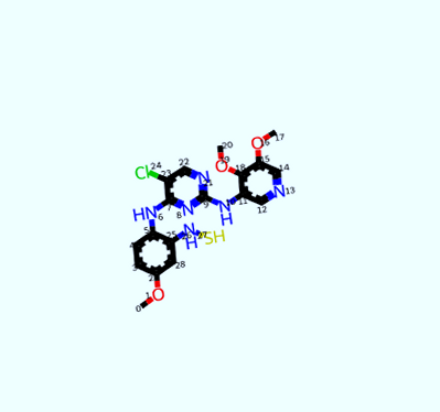 COc1ccc(Nc2nc(Nc3cncc(OC)c3OC)ncc2Cl)c(NS)c1